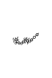 Cc1ccc(C2CCC(c3ccc(Oc4c(F)c(F)c(C(=O)c5ccc(Oc6ccc(C(=O)c7c(F)c(F)c(C)c(F)c7F)cc6)cc5)c(F)c4F)cc3)CC2)cc1